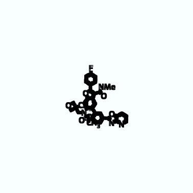 CNC(=O)c1c(-c2ccc(F)cc2)oc2cc(N(CC3(C)COC3)S(C)(=O)=O)c(-c3cccc(-c4nc5ncccc5o4)c3)cc12